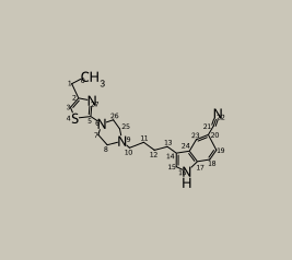 CCc1csc(N2CCN(CCCCc3c[nH]c4ccc(C#N)cc34)CC2)n1